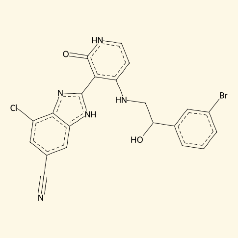 N#Cc1cc(Cl)c2nc(-c3c(NCC(O)c4cccc(Br)c4)cc[nH]c3=O)[nH]c2c1